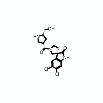 O=C([C@@H]1CN[C@H](CO)C1)N1CC[C@]2(C1)C(=O)Nc1cc(Cl)c(Cl)cc12